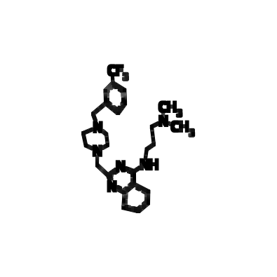 CN(C)CCCNc1nc(CN2CCN(Cc3cccc(C(F)(F)F)c3)CC2)nc2ccccc12